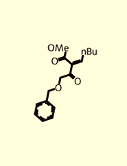 CCCC/C=C(/C(=O)COCc1ccccc1)C(=O)OC